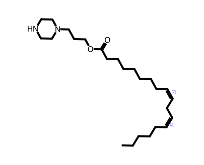 CCCCC/C=C\C/C=C\CCCCCCCC(=O)OCCCN1CCNCC1